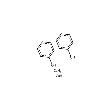 Oc1ccccc1.Oc1ccccc1.[CaH2].[CaH2]